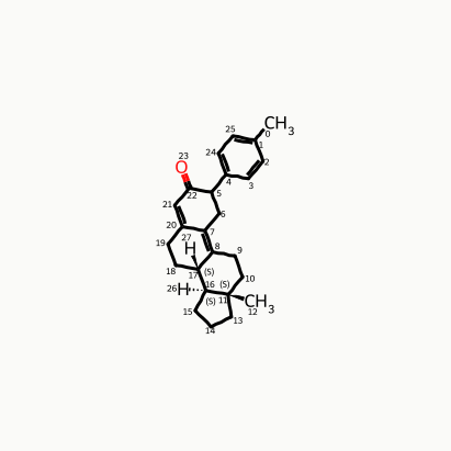 Cc1ccc(C2CC3=C4CC[C@]5(C)CCC[C@H]5[C@@H]4CCC3=CC2=O)cc1